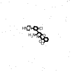 Cl.Nc1nc2c(=O)c3c(Cl)cccc3oc2cc1-c1cccc(N2CCNCC2)c1